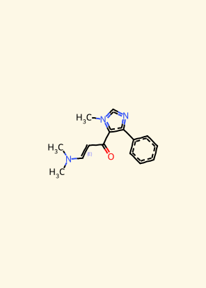 CN(C)/C=C/C(=O)c1c(-c2ccccc2)ncn1C